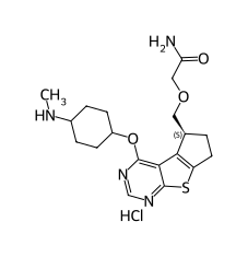 CNC1CCC(Oc2ncnc3sc4c(c23)[C@@H](COCC(N)=O)CC4)CC1.Cl